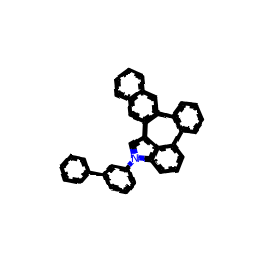 c1ccc(-c2cccc(-n3cc4c5c(cccc53)-c3ccccc3-c3cc5ccccc5cc3-4)c2)cc1